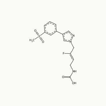 CS(=O)(=O)c1cccc(-c2cnn(CC(F)=CCNC(=O)O)c2)c1